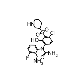 NCc1c(F)cccc1N(C(N)=O)c1ccc(Cl)c(S(=O)(=O)C2CCCNC2)c1O